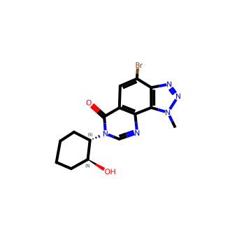 Cn1nnc2c(Br)cc3c(=O)n([C@H]4CCCC[C@@H]4O)cnc3c21